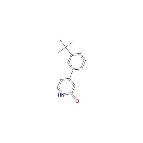 CC(C)(C)c1cccc(-c2cc[nH]c(=O)c2)c1